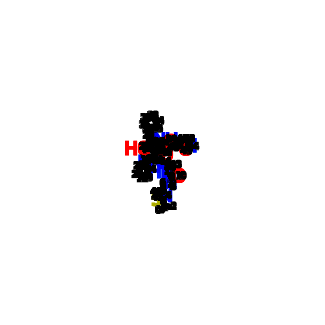 CC(C)c1nc(CN(C)C(=O)N[C@@H](C)C(=O)N[C@@H](Cc2ccccc2)C[C@H](O)[C@H](Cc2ccccc2)NC(=O)OCc2ccno2)cs1